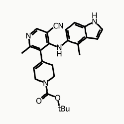 Cc1ncc(C#N)c(Nc2ccc3[nH]ccc3c2C)c1C1=CCN(C(=O)OC(C)(C)C)CC1